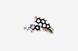 CN(C)C(=O)c1ccc([C@H]2C[C@@]3(C)C(CC[C@]3(O)C(F)(F)C(F)(F)F)C3CCC4=CC(=O)CCC4=C32)cc1